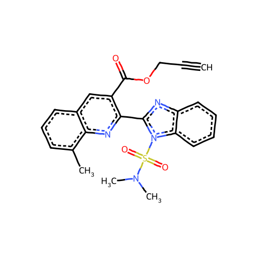 C#CCOC(=O)c1cc2cccc(C)c2nc1-c1nc2ccccc2n1S(=O)(=O)N(C)C